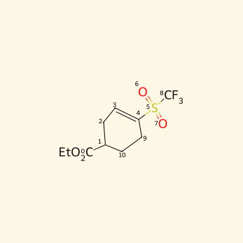 CCOC(=O)C1CC=C(S(=O)(=O)C(F)(F)F)CC1